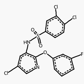 O=S(=O)(Nc1cc(Cl)cnc1Oc1cccc(F)c1)c1ccc(Cl)c(Cl)c1